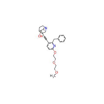 COCCOCCOc1ccc(C#CC2(O)CN3CCC2CC3)c(Cc2ccccc2)n1